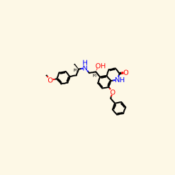 COc1ccc(C[C@@H](C)NC[C@H](O)c2ccc(OCc3ccccc3)c3[nH]c(=O)ccc23)cc1